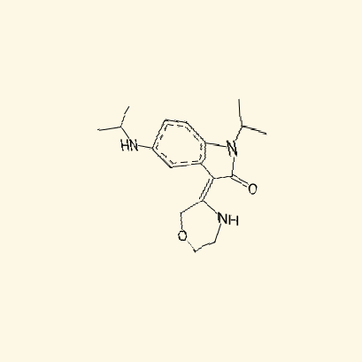 CC(C)Nc1ccc2c(c1)/C(=C1\COCCN1)C(=O)N2C(C)C